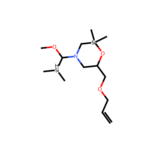 C=CCOCC1CN(C(OC)[SiH](C)C)C[Si](C)(C)O1